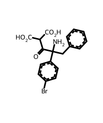 NC(Cc1ccccc1)(C(=O)C(C(=O)O)C(=O)O)c1ccc(Br)cc1